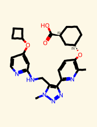 Cc1nc(-c2nnn(C)c2CNc2cc(OC3CCC3)ccn2)ccc1O[C@H]1CCC[C@H](C(=O)O)C1